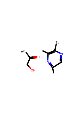 CCCC(=O)CO.CCc1ncc(C)nc1C